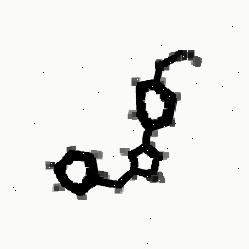 COc1ccc(C2=NOC(Cc3ccccc3)C2)cc1